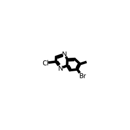 Cc1cc2ncc(Cl)nc2cc1Br